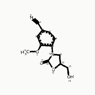 COc1cc(C#N)ccc1N1CC(CO)OC1=O